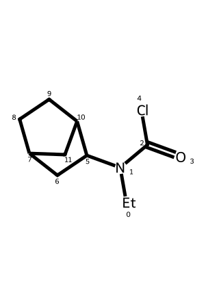 CCN(C(=O)Cl)C1CC2CCC1C2